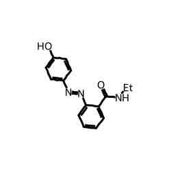 [CH2]CNC(=O)c1ccccc1N=Nc1ccc(O)cc1